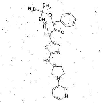 BC(B)(B)O[C@](B)(C(=O)Nc1nnc(N[C@@H]2CCN(c3cccnn3)C2)s1)c1ccccc1